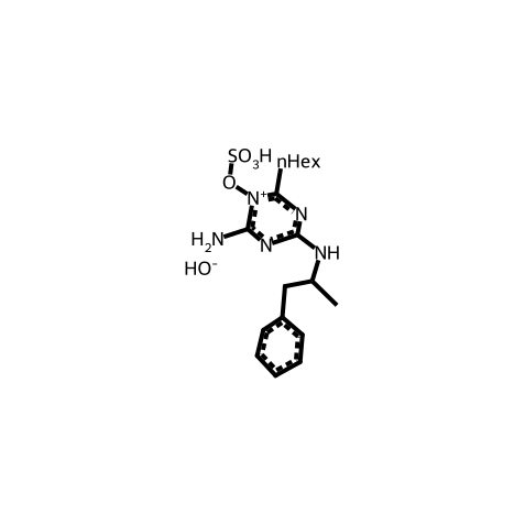 CCCCCCc1nc(NC(C)Cc2ccccc2)nc(N)[n+]1OS(=O)(=O)O.[OH-]